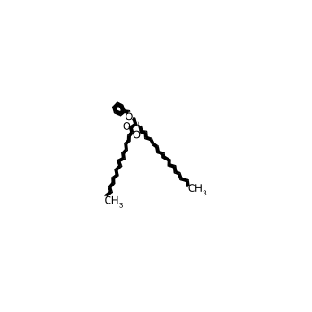 CCCCCCCCCCCCCCCCCC(=O)C[C@@H](COCc1ccccc1)C(=O)CCCCCCCCCCCCCCCCC